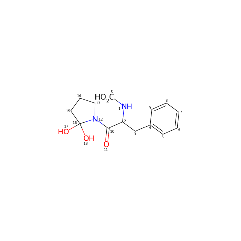 O=C(O)NC(Cc1ccccc1)C(=O)N1CCCC1(O)O